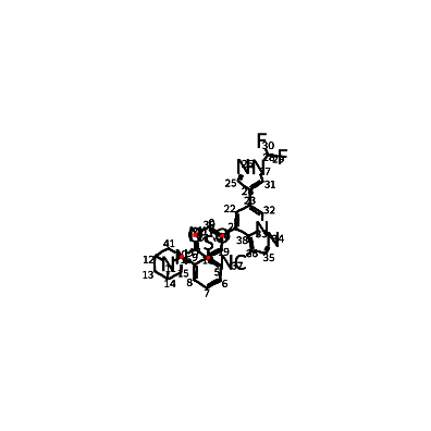 CS(=O)(=O)c1ccccc1CN1C2CC1CN(c1ccc(-c3cc(-c4cnn(C(F)F)c4)cn4ncc(C#N)c34)cn1)C2